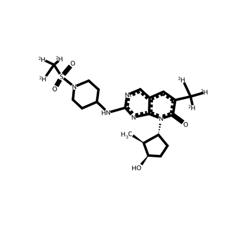 [2H]C([2H])([2H])c1cc2cnc(NC3CCN(S(=O)(=O)C([2H])([2H])[2H])CC3)nc2n([C@@H]2CC[C@@H](O)[C@H]2C)c1=O